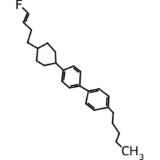 CCCCCc1ccc(-c2ccc(C3CCC(CCC=CF)CC3)cc2)cc1